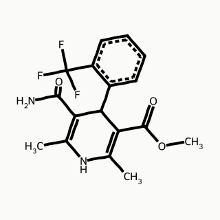 COC(=O)C1=C(C)NC(C)=C(C(N)=O)C1c1ccccc1C(F)(F)F